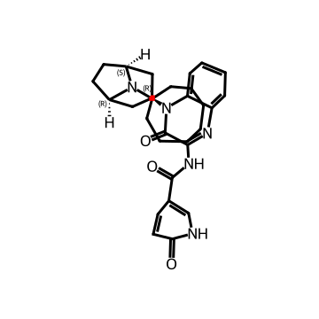 O=C(Nc1nc2ccccc2n([C@H]2C[C@H]3CC[C@@H](C2)N3C2CCCCCCC2)c1=O)c1ccc(=O)[nH]c1